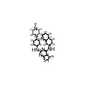 Cc1csc2nc(Nc3ccc(N4CCN(C)CC4)cc3)nc(Nc3ccc4cccnc4c3)c12